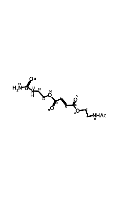 CC(=O)NCCOC(=O)/C=C/C(=O)OCCNC(N)=O